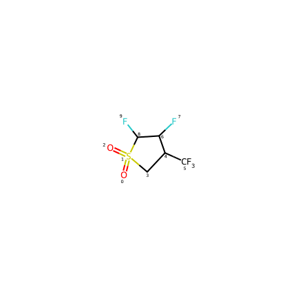 O=S1(=O)CC(C(F)(F)F)C(F)C1F